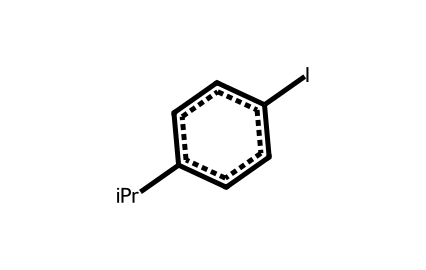 [CH2]C(C)c1ccc(I)cc1